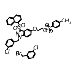 Cc1ccc(S(=O)(=O)OCCOc2ccc3c(c2)c(S(=O)(=O)c2cccc4ccccc24)nn3Cc2cccc(Cl)c2)cc1.Clc1cccc(CBr)c1